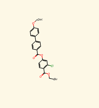 CCCCCCCCCCOc1ccc(-c2ccc(C(=O)Oc3ccc(C(=O)OCC(C)CC)c(Cl)c3)cc2)cc1